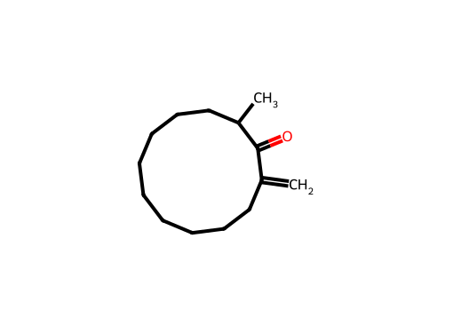 C=C1CCCCCCCCCC(C)C1=O